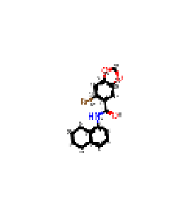 O=C(Nc1cccc2c1CCCC2)c1cc2c(cc1Br)OCO2